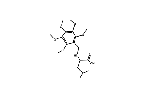 COc1c(CNC(CC(C)C)C(=O)O)c(OC)c(OC)c(OC)c1OC